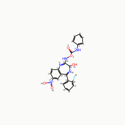 O=C(Nc1ccccc1)ONC1=Nc2ccc([N+](=O)[O-])cc2C(c2ccccc2F)=NC1O